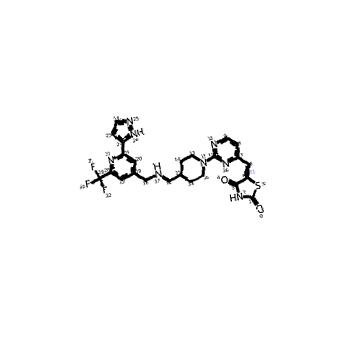 O=C1NC(=O)/C(=C\c2ccnc(N3CCC(CNCc4cc(-c5ccn[nH]5)nc(C(F)(F)F)c4)CC3)n2)S1